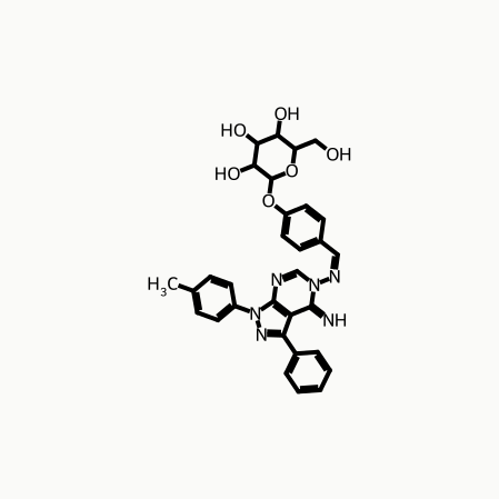 Cc1ccc(-n2nc(-c3ccccc3)c3c(=N)n(/N=C\c4ccc(OC5OC(CO)C(O)C(O)C5O)cc4)cnc32)cc1